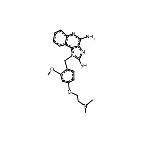 COc1cc(OCCN(C)C)ccc1Cn1c(S)nc2c(N)nc3ccccc3c21